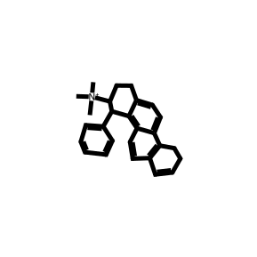 C[N+](C)(C)C1CCc2ccc3c4c(ccc3c2C1c1ccccc1)C=CCC4